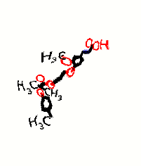 CCc1ccc(OC(C)(C)C(=O)OCCCOc2ccc(/C=C/C(=O)O)cc2OC)cc1